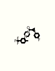 Cc1ccc(C(F)(F)F)cc1N1CCN(C(=O)C2C[C@H]2c2ccc(F)cc2)CC1